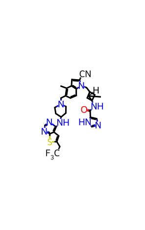 Cc1c(CN2CCC(Nc3ncnc4sc(CC(F)(F)F)cc34)CC2)ccc2c1cc(C#N)n2CC12CC(NC(=O)c3cnc[nH]3)(C1)[C@H]2C